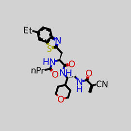 C=C(C#N)C(=O)NC[C@@H](NC(=O)[C@H](Cc1nc2ccc(CC)cc2s1)NC(=O)CCC)C1CCOCC1